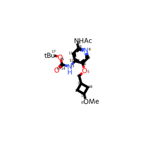 COC1CC(COc2cnc(NC(C)=O)cc2NC(=O)OC(C)(C)C)C1